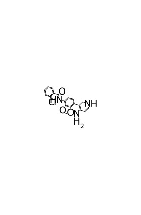 NC1=C(c2ccc(NC(=O)c3ccccc3Cl)c3c2OCO3)CNC=C1